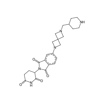 O=C1CCC(N2C(=O)c3ccc(N4CC5(CN(CC6CCNCC6)C5)C4)cc3C2=O)C(=O)N1